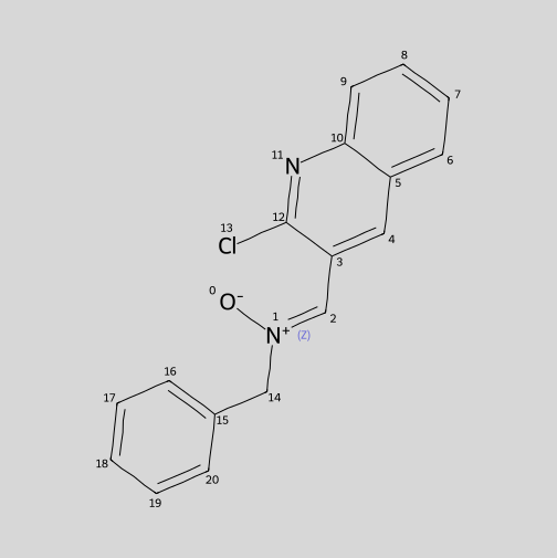 [O-]/[N+](=C\c1cc2ccccc2nc1Cl)Cc1ccccc1